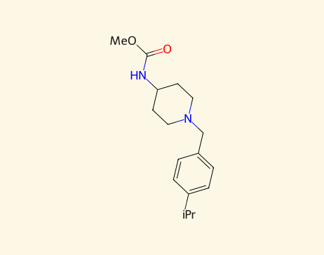 COC(=O)NC1CCN(Cc2ccc(C(C)C)cc2)CC1